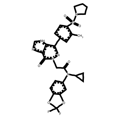 Cc1cc(-c2nn(CC(=O)N(c3ccc4c(c3)OC(F)(F)O4)C3CC3)c(=O)c3nc[nH]c23)ccc1S(=O)(=O)N1CCCC1